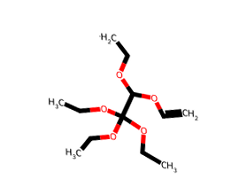 [CH2]COC(OC=C)C(OCC)(OCC)OCC